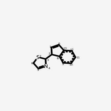 C1=CC(C2N=CCS2)c2ccccc21